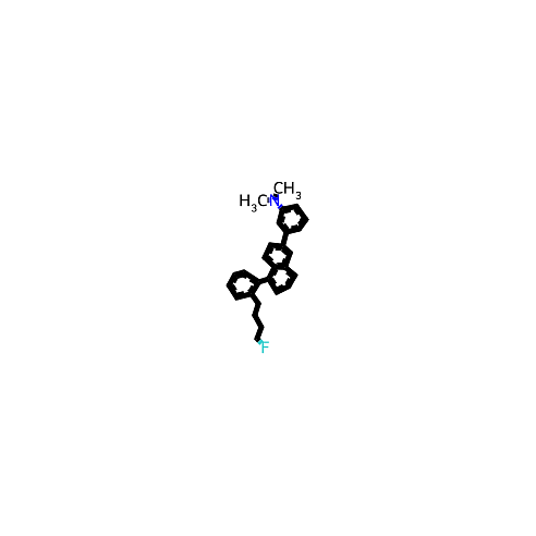 CN(C)c1cccc(-c2ccc3c(-c4ccccc4CCCCF)cccc3c2)c1